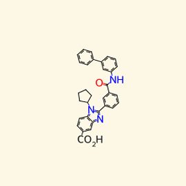 O=C(O)c1ccc2c(c1)nc(-c1cccc(C(=O)Nc3cccc(-c4ccccc4)c3)c1)n2C1CCCC1